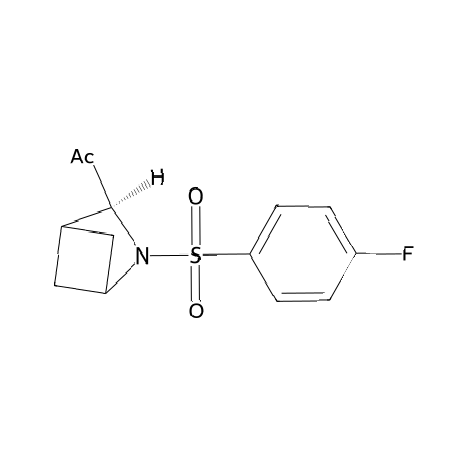 CC(=O)[C@@H]1C2CC(C2)N1S(=O)(=O)c1ccc(F)cc1